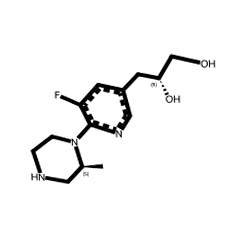 C[C@H]1CNCCN1c1ncc(C[C@@H](O)CO)cc1F